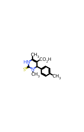 CC1=C(C(=O)O)C(c2ccc(C)cc2)N(C)C(=S)N1